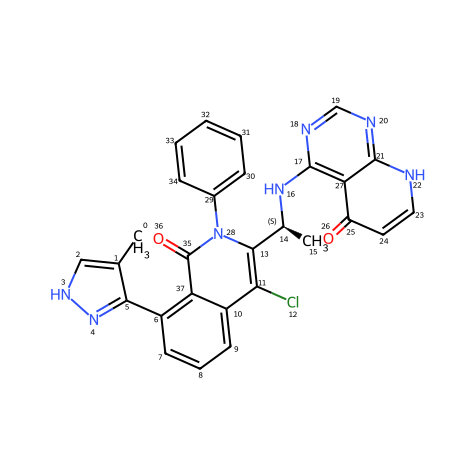 Cc1c[nH]nc1-c1cccc2c(Cl)c([C@H](C)Nc3ncnc4[nH]ccc(=O)c34)n(-c3ccccc3)c(=O)c12